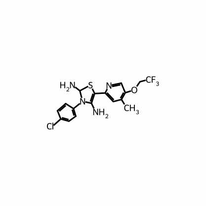 Cc1cc(C2=C(N)N(c3ccc(Cl)cc3)C(N)S2)ncc1OCC(F)(F)F